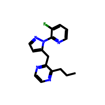 CCCc1nccnc1Cc1ccnn1-c1ncccc1F